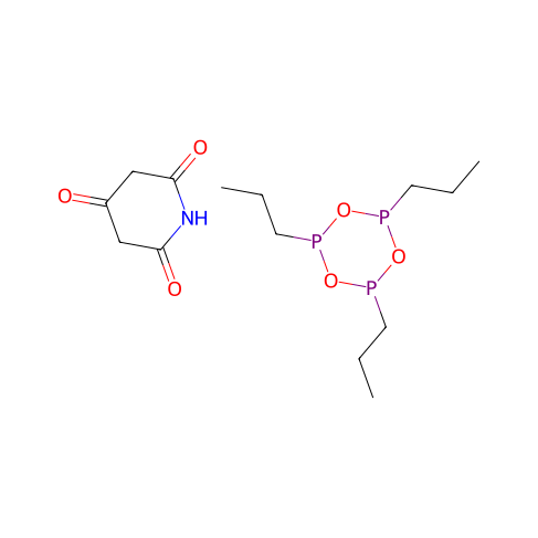 CCCP1OP(CCC)OP(CCC)O1.O=C1CC(=O)NC(=O)C1